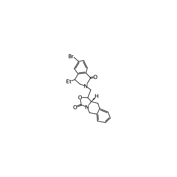 CCC1CN(CC2OC(=O)N3Cc4ccccc4C[C@@H]23)C(=O)c2ccc(Br)cc21